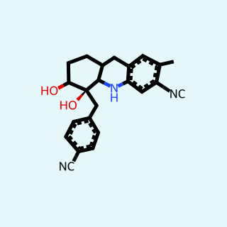 [C-]#[N+]c1cc2c(cc1C)CC1CCC(O)[C@@](O)(Cc3ccc(C#N)cc3)C1N2